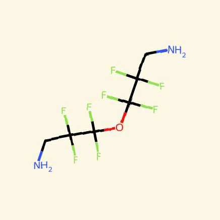 NCC(F)(F)C(F)(F)OC(F)(F)C(F)(F)CN